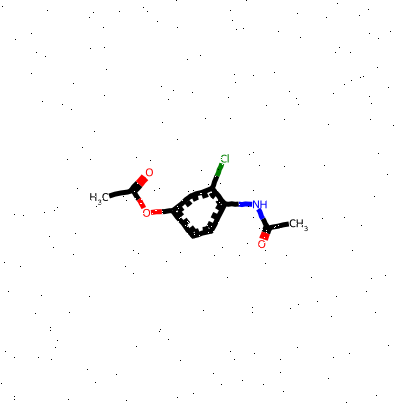 CC(=O)Nc1ccc(OC(C)=O)cc1Cl